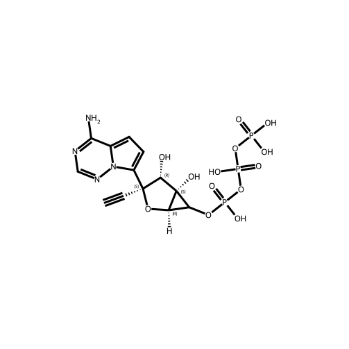 C#C[C@@]1(c2ccc3c(N)ncnn23)O[C@@H]2C(OP(=O)(O)OP(=O)(O)OP(=O)(O)O)[C@]2(O)[C@H]1O